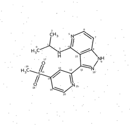 CC(C)Nc1nccc2[nH]nc(-c3cc(S(C)(=O)=O)ccn3)c12